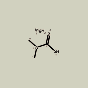 CN(C)C(=S)S.[MgH2]